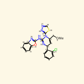 COCC1=CC(c2ccccc2Cl)N=C(Nc2nc3ccccc3o2)N1c1nncs1